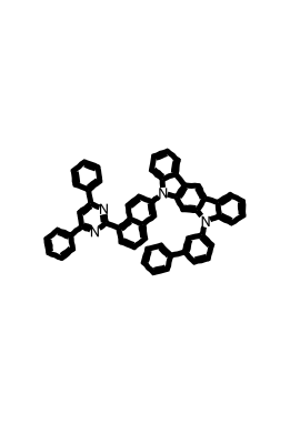 c1ccc(-c2cccc(-n3c4ccccc4c4cc5c6ccccc6n(-c6ccc7c(-c8nc(-c9ccccc9)cc(-c9ccccc9)n8)cccc7c6)c5cc43)c2)cc1